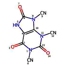 N#Cn1c(=O)c2[nH]c(=O)n(C#N)c2n(C#N)c1=O